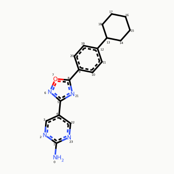 Nc1ncc(-c2noc(-c3ccc(C4CCCCC4)cc3)n2)cn1